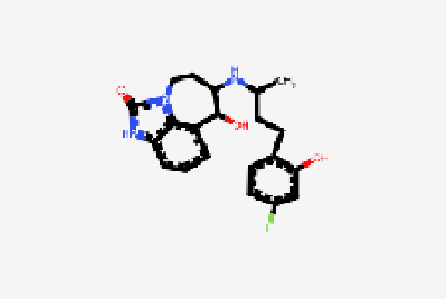 CC(CCc1ccc(F)cc1O)NC1CCn2c(=O)[nH]c3cccc(c32)C1O